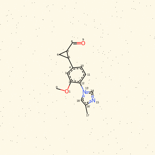 COc1cc(C2CC2C=O)ccc1-n1cnc(C)c1